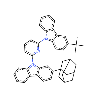 CC(C)(C)c1ccc2c(c1)c1ccccc1n2-c1cccc(-n2c3ccccc3c3ccc(C45CC6CC(CC(C6)C4)C5)cc32)n1